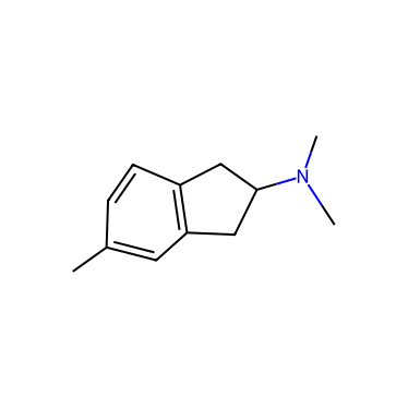 Cc1ccc2c(c1)CC(N(C)C)C2